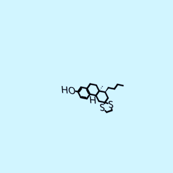 CCCC[C@H]1CC2(C[C@@H]3c4ccc(O)cc4CC[C@@]13C)SCCS2